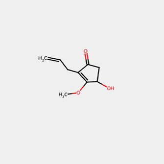 C=CCC1=C(OC)C(O)CC1=O